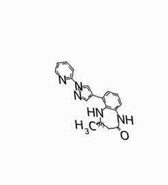 C[C@@H]1CC(=O)Nc2cccc(-c3cnn(-c4ccccn4)c3)c2N1